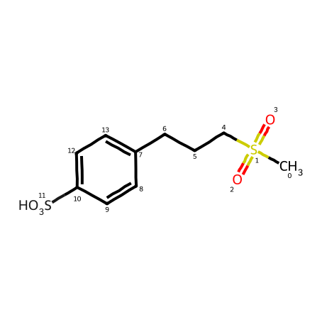 CS(=O)(=O)CCCc1ccc(S(=O)(=O)O)cc1